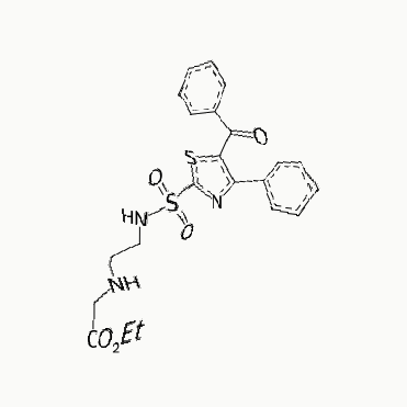 CCOC(=O)CNCCNS(=O)(=O)c1nc(-c2ccccc2)c(C(=O)c2ccccc2)s1